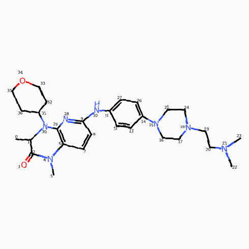 CC1C(=O)N(C)c2ccc(Nc3ccc(N4CCN(CCN(C)C)CC4)cc3)nc2N1C1CCOCC1